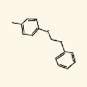 Cc1ccc(SC[CH]c2ccccc2)cc1